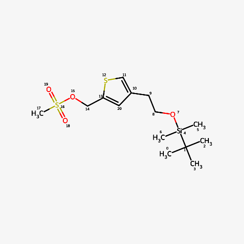 CC(C)(C)[Si](C)(C)OCCc1csc(COS(C)(=O)=O)c1